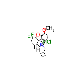 COc1ccc2c3c1OC1C(F)(F)CC[C@H]4[C@@H](C2)N(CC2CCC2)CC[C@]314.Cl